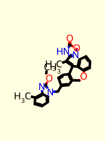 CCOc1nc2c(C)cccc2n1Cc1ccc2c(c1)COc1ccccc1C2=C(C)c1noc(=O)[nH]1